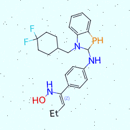 CC/C=C(\NO)c1ccc(NC2Pc3ccccc3N2CC2CCC(F)(F)CC2)cc1